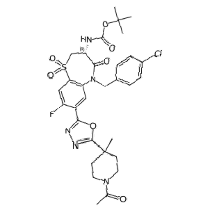 CC(=O)N1CCC(C)(c2nnc(-c3cc4c(cc3F)S(=O)(=O)C[C@H](NC(=O)OC(C)(C)C)C(=O)N4Cc3ccc(Cl)cc3)o2)CC1